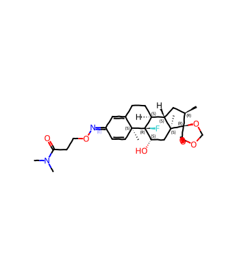 C[C@@H]1C[C@H]2[C@@H]3CCC4=C/C(=N/OCCC(=O)N(C)C)C=C[C@]4(C)[C@@]3(F)[C@@H](O)C[C@]2(C)[C@]12OCOC21COCO1